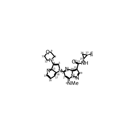 CNc1cc(-n2cc(N3CCOCC3)c3ncccc32)nc2c(C(=O)N[C@H]3C[C@H]3F)cnn12